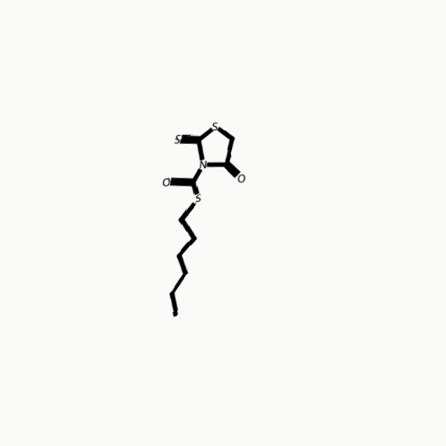 CCCCCCSC(=O)N1C(=O)CSC1=S